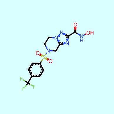 O=C(NO)c1nc2n(n1)CCN(S(=O)(=O)c1ccc(C(F)(F)F)cc1)C2